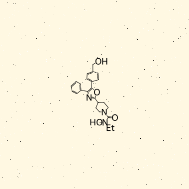 CCN(O)C(=O)N1CCC(c2nc(-c3ccccc3)c(-c3ccc(CO)cc3)o2)CC1